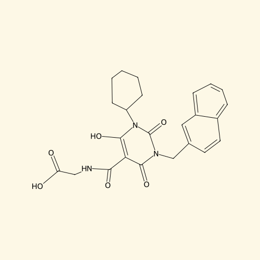 O=C(O)CNC(=O)c1c(O)n(C2CCCCC2)c(=O)n(Cc2ccc3ccccc3c2)c1=O